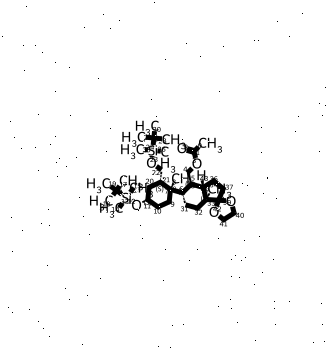 CC(=O)OC[C@@H]1[C@@H]([C@@]2(C)CC[C@H](O[Si](C)(C)C(C)(C)C)C[C@@H]2CO[Si](C)(C)C(C)(C)C)CC[C@@]2(C)[C@H]1CCC21OCCO1